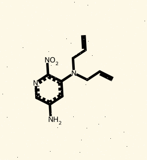 C=CCN(CC=C)c1cc(N)cnc1[N+](=O)[O-]